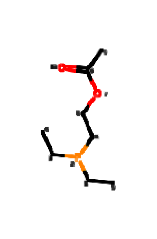 CCP(CC)CCOC(C)=O